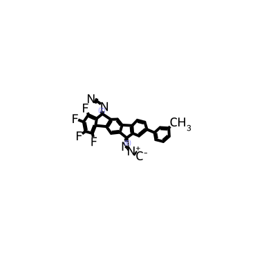 [C-]#[N+]/N=c1\c2cc(-c3cccc(C)c3)ccc2c2cc3/c(=N/C#N)c4c(F)c(F)c(F)c(F)c4c3cc12